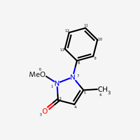 COn1c(=O)cc(C)n1-c1ccccc1